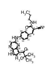 CCCNC(=O)/C(C#N)=C\c1ccc(Nc2cnc3[nH]cc(C(=O)C(C)(C)C)c3n2)cc1